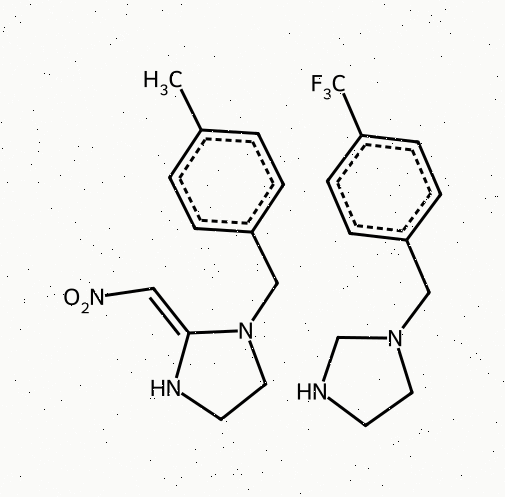 Cc1ccc(CN2CCNC2=C[N+](=O)[O-])cc1.FC(F)(F)c1ccc(CN2CCNC2)cc1